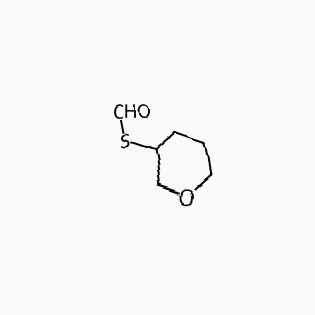 O=CSC1CCCOC1